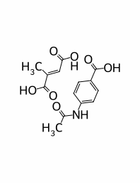 C/C(=C\C(=O)O)C(=O)O.CC(=O)Nc1ccc(C(=O)O)cc1